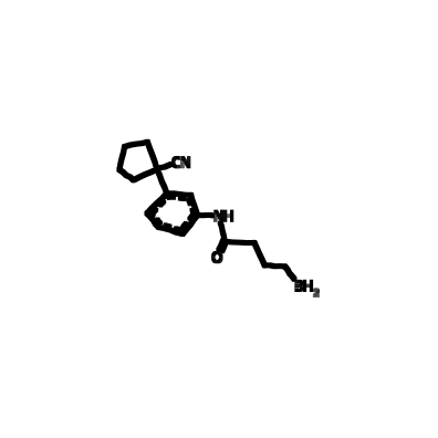 BCCCC(=O)Nc1cccc(C2(C#N)CCCC2)c1